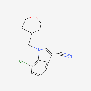 N#Cc1cn(CC2CCOCC2)c2c(Cl)cccc12